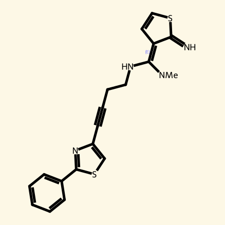 CN/C(NCCC#Cc1csc(-c2ccccc2)n1)=C1/C=CSC1=N